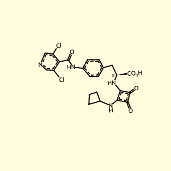 O=C(Nc1ccc(C[C@H](Nc2c(NC3CCC3)c(=O)c2=O)C(=O)O)cc1)c1c(Cl)cncc1Cl